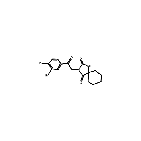 O=C(CN1C(=O)NC2(CCCCC2)C1=O)c1ccc(Br)c(Br)c1